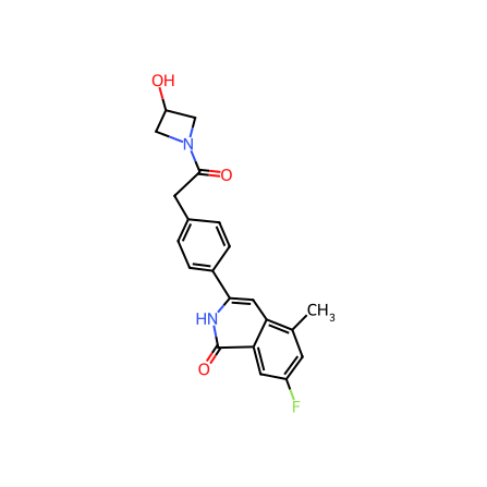 Cc1cc(F)cc2c(=O)[nH]c(-c3ccc(CC(=O)N4CC(O)C4)cc3)cc12